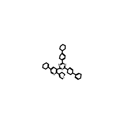 C1=CC(C2C=CC(c3nc(C4=CC=C(C5CCCCC5)CC4)nc(-c4cc(C5=CCCCC5)cnc4C4=CCCCC4)n3)CC2)=CCC1